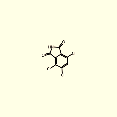 O=C1NC(=O)c2c(Cl)c(Cl)cc(Cl)c21